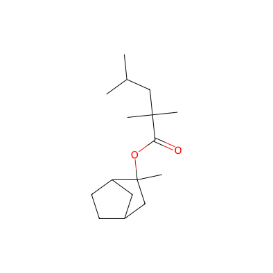 CC(C)CC(C)(C)C(=O)OC1(C)CC2CCC1C2